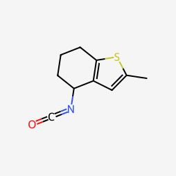 Cc1cc2c(s1)CCCC2N=C=O